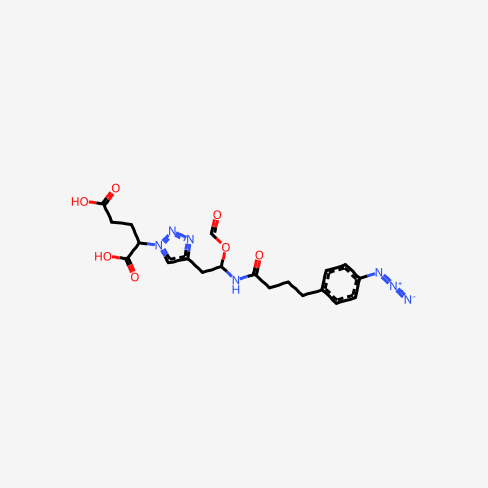 [N-]=[N+]=Nc1ccc(CCCC(=O)NC(Cc2cn(C(CCC(=O)O)C(=O)O)nn2)OC=O)cc1